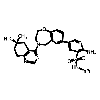 CCCNS(=O)(=O)c1cc(-c2ccc3c(c2)CN(c2ncnc4c2CC(C)(C)CC4)CCO3)cnc1N